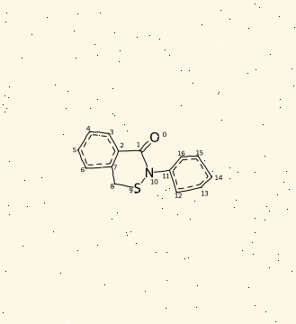 O=C1c2ccccc2CSN1c1ccccc1